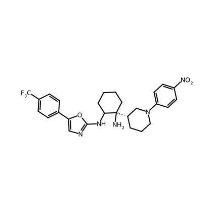 NC1([C@H]2CCCN(c3ccc([N+](=O)[O-])cc3)C2)CCCCC1Nc1ncc(-c2ccc(C(F)(F)F)cc2)o1